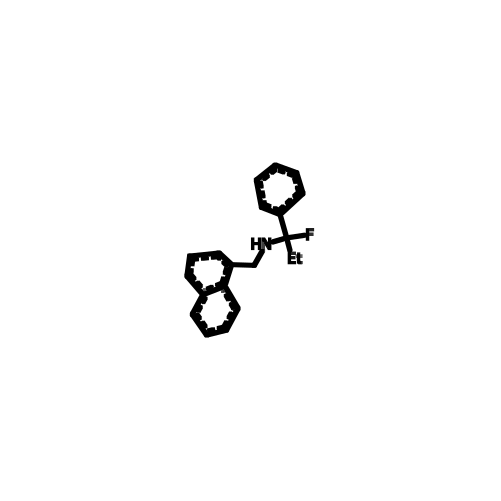 CCC(F)(NCc1cccc2ccccc12)c1ccccc1